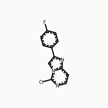 Fc1ccc(-c2cn3c(Cl)nccc3n2)cc1